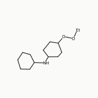 CCOOC1CCC(NC2CCCCC2)CC1